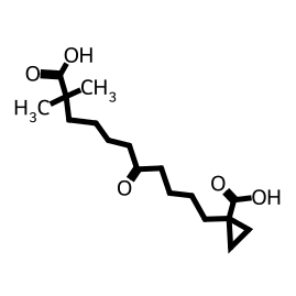 CC(C)(CCCCC(=O)CCCCC1(C(=O)O)CC1)C(=O)O